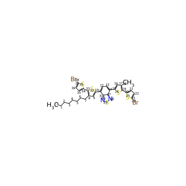 CCCCCCCCc1cc(-c2ccc(-c3cc(C)c(-c4ccc(Br)s4)s3)c3nsnc23)sc1-c1ccc(Br)s1